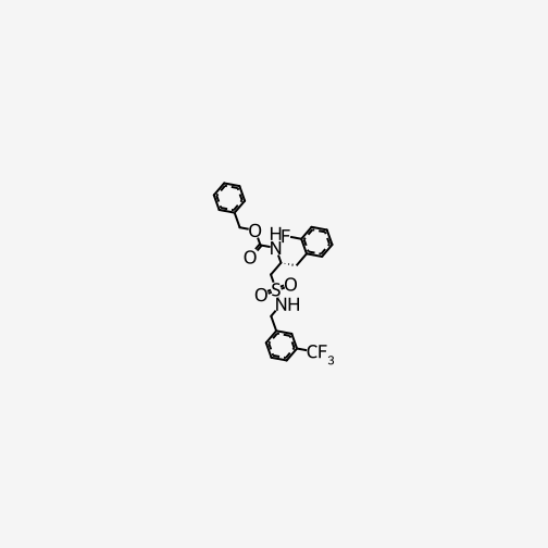 O=C(N[C@H](Cc1ccccc1F)CS(=O)(=O)NCc1cccc(C(F)(F)F)c1)OCc1ccccc1